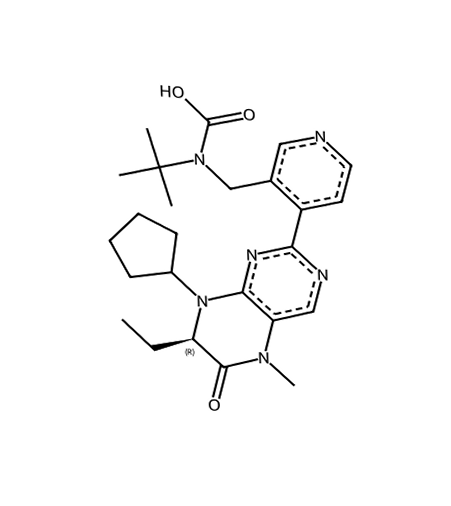 CC[C@@H]1C(=O)N(C)c2cnc(-c3ccncc3CN(C(=O)O)C(C)(C)C)nc2N1C1CCCC1